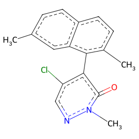 Cc1ccc2ccc(C)c(-c3c(Cl)cnn(C)c3=O)c2c1